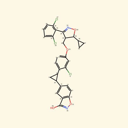 C=C(/C=C(Cl)\C(=C/C)C1CC1c1ccc2onc(O)c2c1)OCC1C(c2c(Cl)cccc2Cl)=NOC1C1CC1